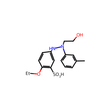 CCOc1ccc(NN(CCO)c2cccc(C)c2)cc1S(=O)(=O)O